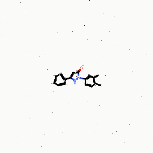 Cc1ccc(-n2[nH]c(-c3ccccc3)cc2=O)cc1C